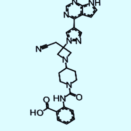 N#CCC1(n2cc(-c3ncnc4[nH]ccc34)cn2)CN(C2CCN(C(=O)Nc3ccccc3C(=O)O)CC2)C1